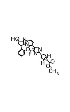 CCOC(=O)[C@H]1[C@@H]2CC(c3ncc(-c4ccc5nc6c(n5c4)[C@@H](c4ccccc4OC(F)F)C[C@H]6O)cn3)C[C@@H]21